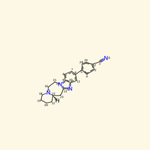 N#Cc1ccc(-c2ccc3c(c2)nc2n3CCN3CCCC[C@H]3C2)cc1